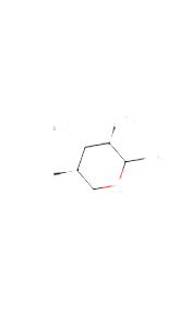 CC(=O)OC1OC[C@@H](C)[C@H](OC(C)=O)[C@H]1OC(C)=O